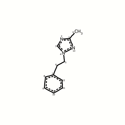 Cc1ncn(CCc2ccccc2)n1